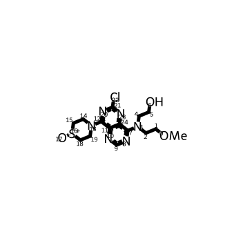 COCCN(CCO)c1ncnc2c(N3CC[S+]([O-])CC3)nc(Cl)nc12